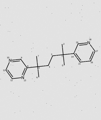 CC(C)(CCC(C)(C)c1cnccn1)c1cccnc1